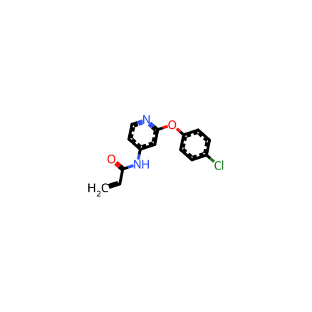 C=CC(=O)Nc1ccnc(Oc2ccc(Cl)cc2)c1